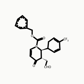 O=CC[C@@H]1C(=O)C=CN(C(=O)OCc2ccccc2)[C@H]1C1C=CC(C(F)(F)F)=CC1